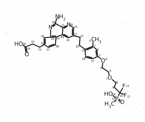 Cc1cc(OCCOCCC(F)(F)P(C)(=O)O)ccc1CCc1cnc2c(N)nc3cc(CCC(=O)O)ccc3c2c1